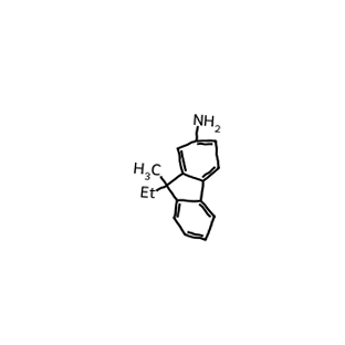 CCC1(C)c2ccccc2-c2ccc(N)cc21